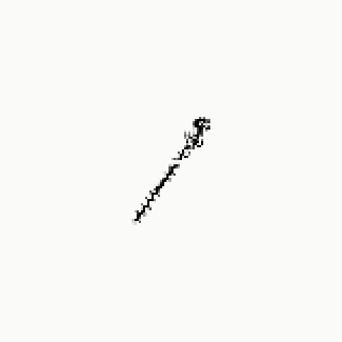 CCCCCCCCCCCCCCCCCCOCCOCCOC(=O)NCc1ccccn1